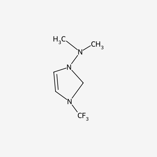 CN(C)N1C=CN(C(F)(F)F)C1